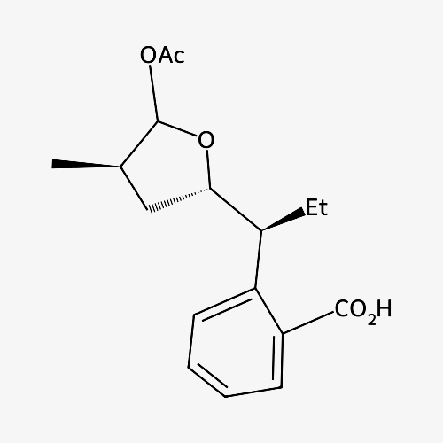 CC[C@@H](c1ccccc1C(=O)O)[C@@H]1C[C@@H](C)C(OC(C)=O)O1